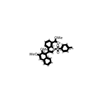 COC(=O)c1cccc2c(-c3c(OC)c(OC)cc4ccccc34)cn(S(=O)(=O)c3ccc(C)cc3)c12